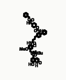 COc1cc(NC(=O)CCCc2ccc(-c3ccccc3)c(NC(=O)OC3CCC(NC(=O)OCc4ccccc4)CC3)c2)c(Cl)cc1CNC[C@H](O[Si](C)(C)C(C)(C)C)c1ccc(O)c2[nH]c(=O)ccc12